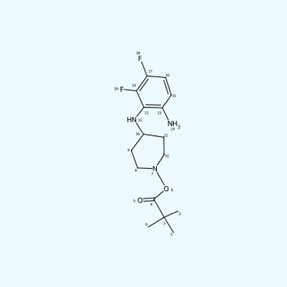 CC(C)(C)C(=O)ON1CCC(Nc2c(N)ccc(F)c2F)CC1